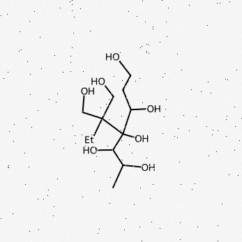 CCC(CO)(CO)C(O)(C(O)CCO)C(O)C(C)O